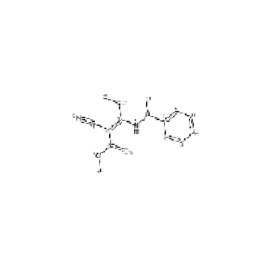 COC(=O)C(C#N)=C(NC(C)c1ccccc1)SC